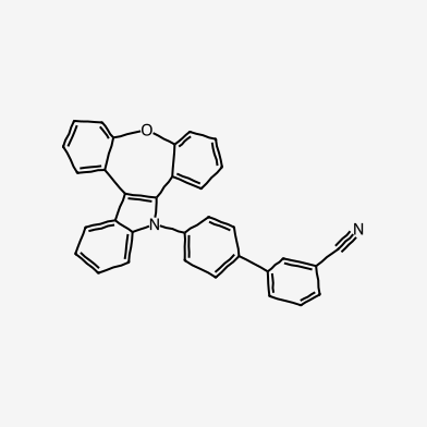 N#Cc1cccc(-c2ccc(-n3c4c(c5ccccc53)-c3ccccc3Oc3ccccc3-4)cc2)c1